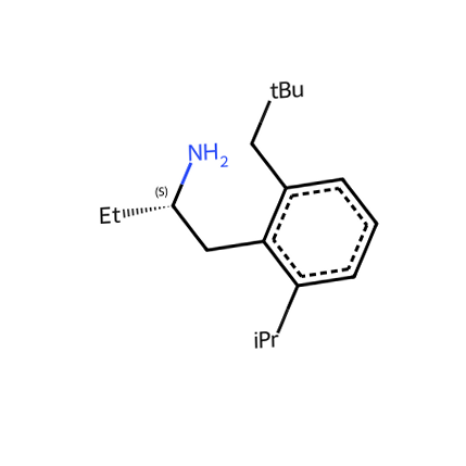 CC[C@H](N)Cc1c(CC(C)(C)C)cccc1C(C)C